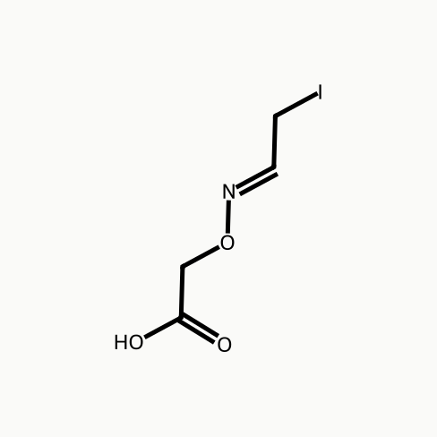 O=C(O)CO/N=C/CI